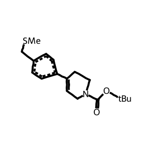 CSCc1ccc(C2=CCN(C(=O)OC(C)(C)C)CC2)cc1